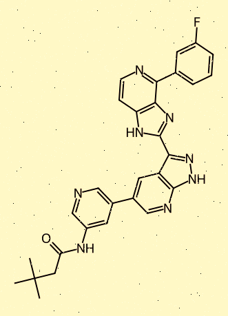 CC(C)(C)CC(=O)Nc1cncc(-c2cnc3[nH]nc(-c4nc5c(-c6cccc(F)c6)nccc5[nH]4)c3c2)c1